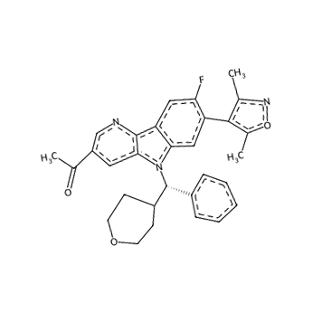 CC(=O)c1cnc2c3cc(F)c(-c4c(C)noc4C)cc3n([C@H](c3ccccc3)C3CCOCC3)c2c1